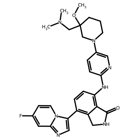 COC1(CN(C)C)CCCN(c2ccc(Nc3ccc(-c4cnc5cc(F)ccn45)c4c3C(=O)NC4)nc2)C1